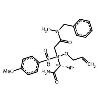 C=CCO[N+](CC(=O)N(C)Cc1ccccc1)([C@@H](C(N)=O)C(C)C)S(=O)(=O)c1ccc(OC)cc1